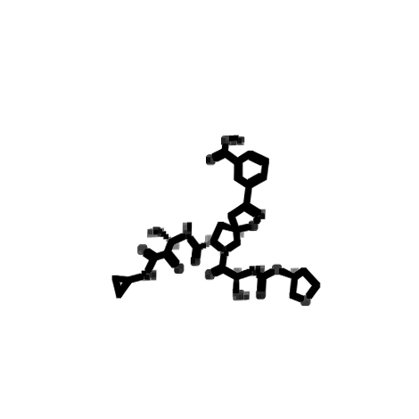 CCC[C@H](NC(=O)[C@@H]1C[C@]2(CC(c3cccc(C(=O)OC)c3)=NO2)CN1C(=O)[C@@H](NC(=O)O[C@H]1CCOC1)C(C)(C)C)C(=O)C(=O)NC1CC1